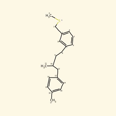 CSCc1cccc(CCC(C)Cc2ccc(C)cc2)c1